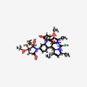 COC1=CC(=O)N(c2cc(N3C(=O)CC(OC)(SC)C3=O)ccc2C2=C3C(C)=CC(C)=[N+]3B(F)n3c(C)cc(C)c32)C1=O